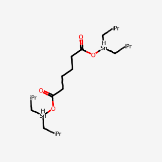 CC(C)[CH2][SnH]([CH2]C(C)C)[O]C(=O)CCCCC(=O)[O][SnH]([CH2]C(C)C)[CH2]C(C)C